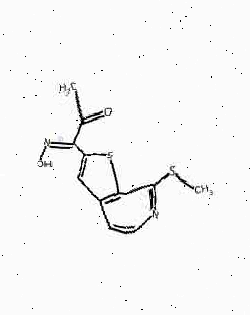 CSc1nccc2cc(/C(=N\O)C(C)=O)sc12